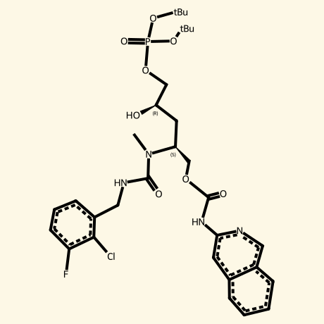 CN(C(=O)NCc1cccc(F)c1Cl)[C@H](COC(=O)Nc1cc2ccccc2cn1)C[C@@H](O)COP(=O)(OC(C)(C)C)OC(C)(C)C